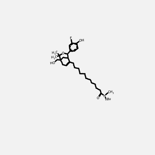 CCCCN(C)C(=O)CCCCCCCCCCCC1=CCC2(CO)CC1C(c1ccc(O)c(F)c1)OC2(C)C